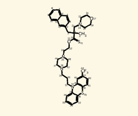 CC(Cc1ccc2ccccc2c1)(CN1CCOCC1)C(=S)OCCN1CCN(CCCN2c3ccccc3Sc3ccc(C(F)(F)F)cc32)CC1